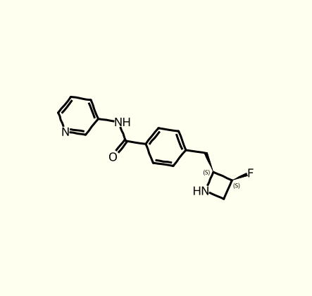 O=C(Nc1cccnc1)c1ccc(C[C@@H]2NC[C@@H]2F)cc1